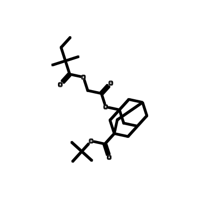 CCC(C)(C)C(=O)OCC(=O)OC12CC3CC(C1)CC(C(=O)OC(C)(C)C)(C3)C2